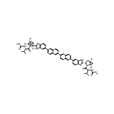 COC(=O)N[C@H](C(=O)N1[C@H](c2nc3ccc(-c4ccc5cc(-c6ccc7cc(-c8ccc9nc([C@@H]%10C[C@H]%11C[C@H]%11N%10C(=O)[C@@H](NC(=O)OC)C(C)C)[nH]c9c8)ccc7c6)ccc5c4)cc3[nH]2)C2[C@@H]3[C@H]1[C@]23C)C(C)C